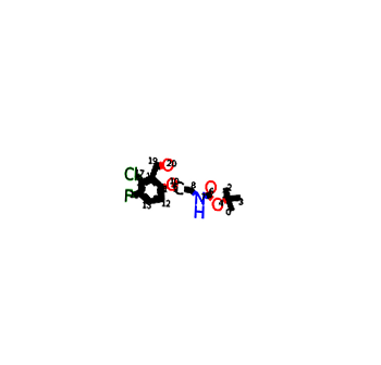 CC(C)(C)OC(=O)NCCOc1ccc(F)c(Cl)c1C=O